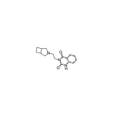 O=c1[nH]c2ccccc2c(=O)n1CCN1CC2CCC2C1